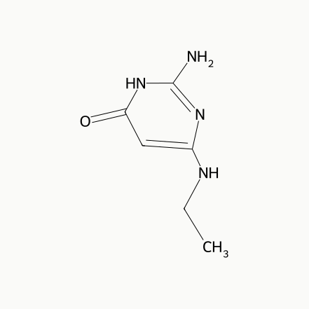 CCNc1cc(=O)[nH]c(N)n1